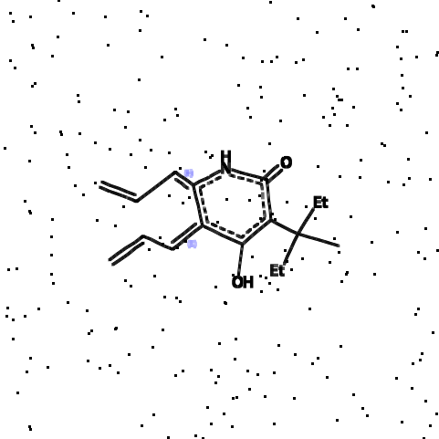 C=C/C=c1/[nH]c(=O)c(C(C)(CC)CC)c(O)/c1=C/C=C